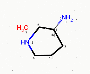 N[C@@H]1CCCNC1.O